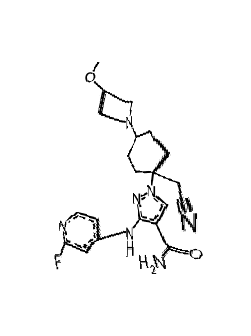 COC1CN(C2CCC(CC#N)(n3cc(C(N)=O)c(Nc4ccnc(F)c4)n3)CC2)C1